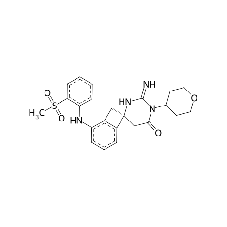 CS(=O)(=O)c1ccccc1Nc1cccc2c1C[C@]21CC(=O)N(C2CCOCC2)C(=N)N1